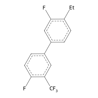 CCc1ccc(-c2ccc(F)c(C(F)(F)F)c2)cc1F